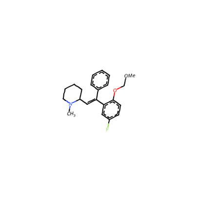 COCOc1ccc(F)cc1/C(=C/C1CCCCN1C)c1ccccc1